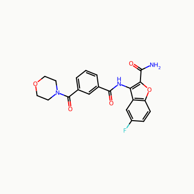 NC(=O)c1oc2ccc(F)cc2c1NC(=O)c1cccc(C(=O)N2CCOCC2)c1